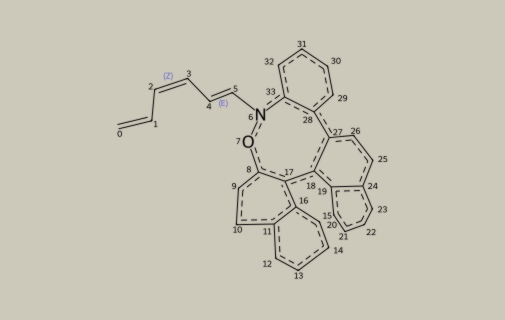 C=C/C=C\C=C\n1oc2ccc3ccccc3c2c2c3ccccc3ccc2c2ccccc21